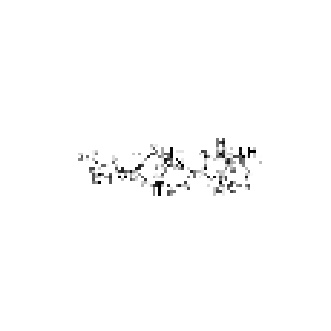 CN1CCO[C@@H]2CC(C3CC[C@@H]4CC(OCC(O)CF)=CC[C@@H]4N3)=CN[C@@H]21